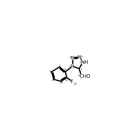 O=CC1NN=NN1c1ccccc1F